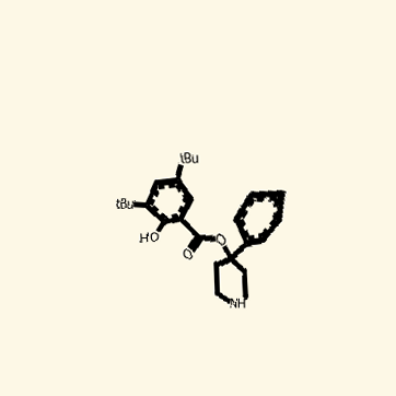 CC(C)(C)c1cc(C(=O)OC2(c3ccccc3)CCNCC2)c(O)c(C(C)(C)C)c1